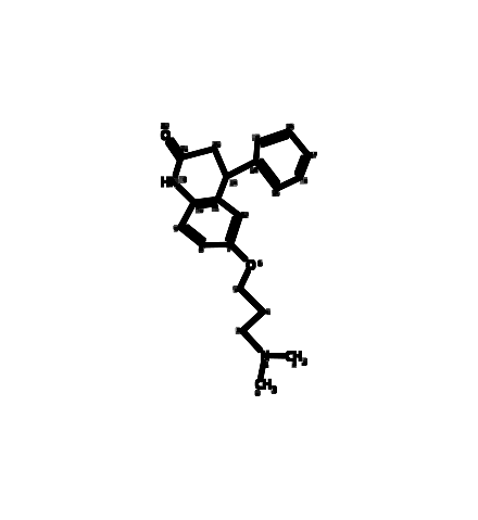 CN(C)CCCOc1ccc2c(c1)C(c1ccccc1)CC(=O)N2